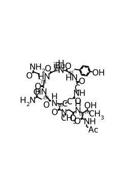 CC[C@H](C)[C@@H]1NC(=O)[C@H](Cc2ccc(O)cc2)NC(=O)CNC(=O)CC[C@@H](C(=O)N(C)CC(=O)N[C@H](C(=O)NCC(C)=O)[C@H](C)O)NC(=O)[C@H](CC(N)=O)NC(=O)[C@H](CCC(N)=O)NC1=O